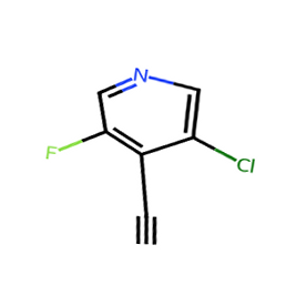 C#Cc1c(F)cncc1Cl